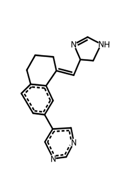 C1=NC(C=C2CCCc3ccc(-c4cncnc4)cc32)CN1